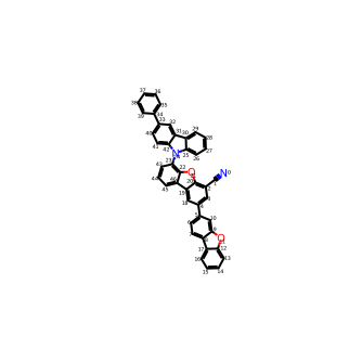 N#Cc1cc(-c2ccc3c(c2)oc2ccccc23)cc2c1oc1c(-n3c4ccccc4c4cc(-c5ccccc5)ccc43)cccc12